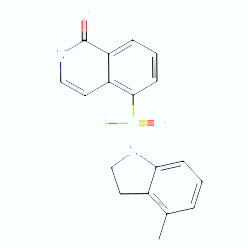 Cc1cccc2c1CCN2[SH](=O)(Cl)c1cccc2c(=O)[nH]ccc12